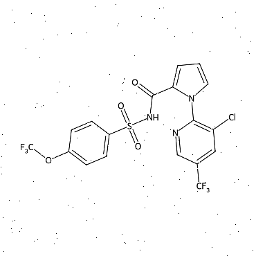 O=C(NS(=O)(=O)c1ccc(OC(F)(F)F)cc1)c1cccn1-c1ncc(C(F)(F)F)cc1Cl